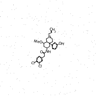 C=CCN1CCC2(c3cccc(O)c3)CC(NC(=O)Cc3ccc(Cl)c(Cl)c3)CC(OC)C2C1